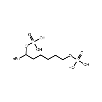 CCCCC(CCCCCOP(=O)(O)O)OP(=O)(O)O